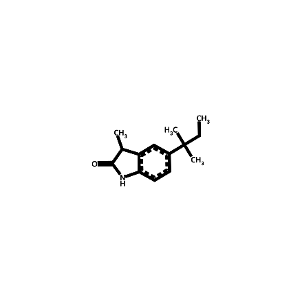 CCC(C)(C)c1ccc2c(c1)C(C)C(=O)N2